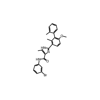 COc1ccc(-c2nc(C(=O)Nc3cccc(Br)c3)c(C)[nH]2)c(C)c1-c1ccccc1C